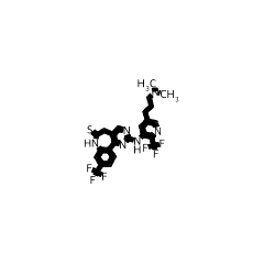 CN(C)CCCc1cnc(C(F)(F)F)c(Nc2ncc3c(n2)-c2ccc(C(F)(F)F)cc2NC(=S)C3)c1